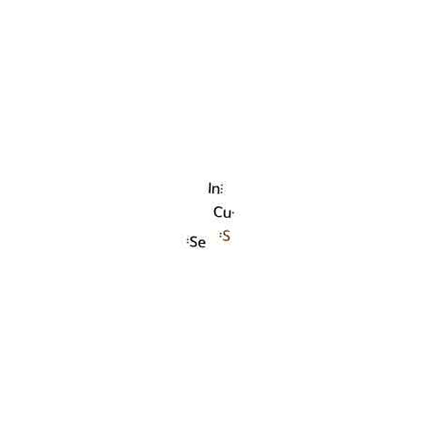 [Cu].[In].[S].[Se]